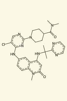 CN(C)C(=O)C1CCN(c2ncc(Cl)c(Nc3ccc4c(c3)c(NC(C)(C)c3ncccn3)cc(=O)n4C)n2)CC1